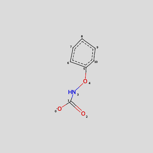 [O]C(=O)NOc1ccccc1